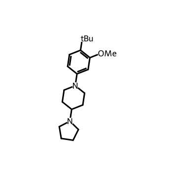 COc1cc(N2CCC(N3CCCC3)CC2)ccc1C(C)(C)C